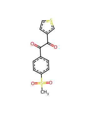 CS(=O)(=O)c1ccc(C(=O)C(=O)c2ccsc2)cc1